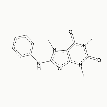 Cn1c(=O)c2c(nc(Nc3ccccc3)n2C)n(C)c1=O